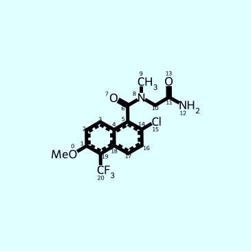 COc1ccc2c(C(=O)N(C)CC(N)=O)c(Cl)ccc2c1C(F)(F)F